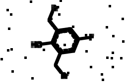 Oc1c(CBr)cc(F)cc1CBr